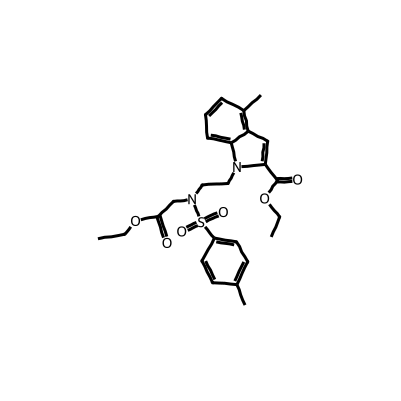 CCOC(=O)CN(CCn1c(C(=O)OCC)cc2c(C)cccc21)S(=O)(=O)c1ccc(C)cc1